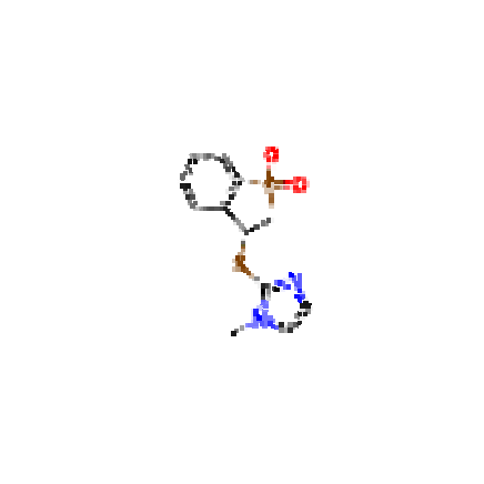 Cn1ccnc1SC1CS(=O)(=O)c2ccccc21